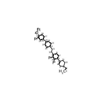 C=CC1CC=C(c2ccc(CCc3ccc(-c4ccc(OCC)c(F)c4)cc3)c(F)c2F)CC1